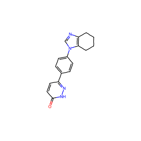 O=c1ccc(-c2ccc(-n3cnc4c3CCCC4)cc2)n[nH]1